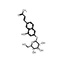 CC(=O)/C=C/c1ccc2cc(O[C@@H]3O[C@H](CO)[C@@H](O)[C@H](O)[C@H]3O)cc(O)c2c1